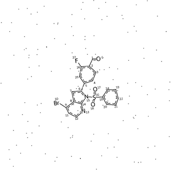 O=Cc1ccc(-c2cc3c(Br)ccnc3n2S(=O)(=O)c2ccccc2)cc1F